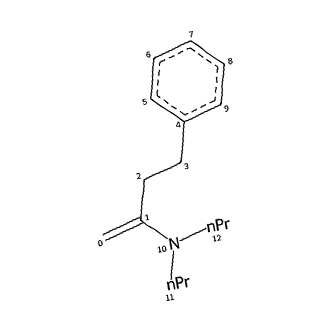 C=C(CCc1ccccc1)N(CCC)CCC